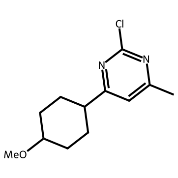 COC1CCC(c2cc(C)nc(Cl)n2)CC1